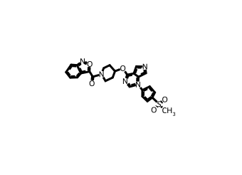 CS(=O)(=O)c1ccc(-n2cnc(OC3CCN(C(=O)c4onc5ccccc45)CC3)c3cncc2-3)cc1